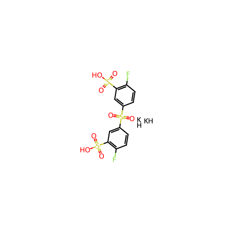 O=S(=O)(O)c1cc(S(=O)(=O)c2ccc(F)c(S(=O)(=O)O)c2)ccc1F.[KH].[KH]